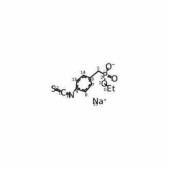 CCOP(=O)([O-])Cc1ccc(N=C=S)cc1.[Na+]